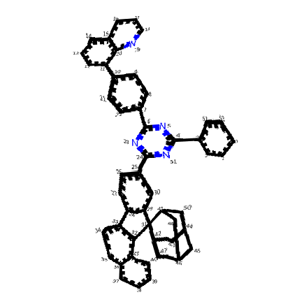 c1ccc(-c2nc(-c3ccc(-c4cccc5cccnc45)cc3)nc(-c3ccc4c(c3)C3(c5c-4ccc4ccccc54)C4CC5CC(C4)CC3C5)n2)cc1